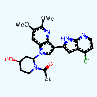 CCC(=O)N1CCC(O)CC1n1cc(-c2cc3c(Cl)ccnc3[nH]2)c2nc(OC)c(OC)cc21